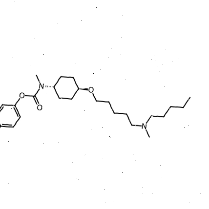 CCCCCN(C)CCCCCO[C@H]1CC[C@H](N(C)C(=O)Oc2ccc(Cl)cc2)CC1